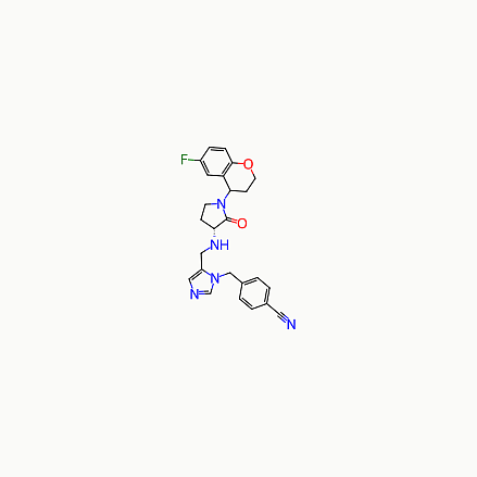 N#Cc1ccc(Cn2cncc2CN[C@@H]2CCN(C3CCOc4ccc(F)cc43)C2=O)cc1